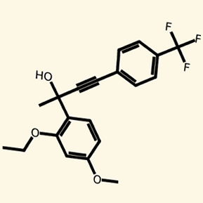 CCOc1cc(OC)ccc1C(C)(O)C#Cc1ccc(C(F)(F)F)cc1